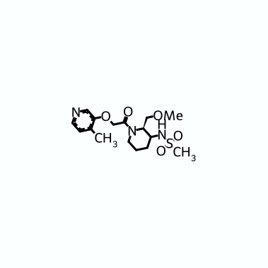 COC[C@H]1C(NS(C)(=O)=O)CCCN1C(=O)COc1cnccc1C